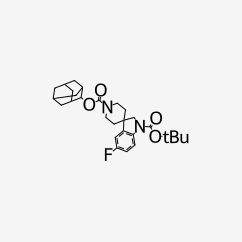 CC(C)(C)OC(=O)N1CC2(CCN(C(=O)OC3C4CC5CC(C4)CC3C5)CC2)c2cc(F)ccc21